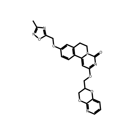 Cc1noc(COc2ccc3c(c2)CCn2c-3cc(OCC3COc4ncccc4O3)nc2=O)n1